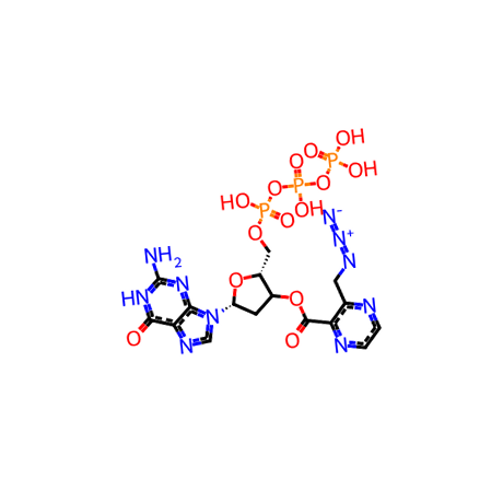 [N-]=[N+]=NCc1nccnc1C(=O)OC1C[C@H](n2cnc3c(=O)[nH]c(N)nc32)O[C@@H]1COP(=O)(O)OP(=O)(O)OP(=O)(O)O